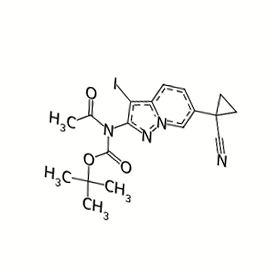 CC(=O)N(C(=O)OC(C)(C)C)c1nn2cc(C3(C#N)CC3)ccc2c1I